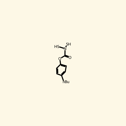 CCCCc1ccc(OC(=O)N(S)S)cc1